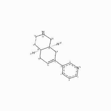 C1=C(c2cccnc2)C[C@@H]2CNCC[C@@H]2C1